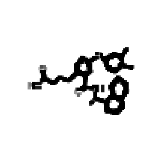 Cc1ccc(Oc2ccc(CCCC(=O)O)c(C(=O)N[C@H](C)c3cccc4ccccc34)c2)cc1C